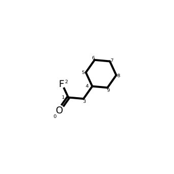 O=C(F)CC1CCCCC1